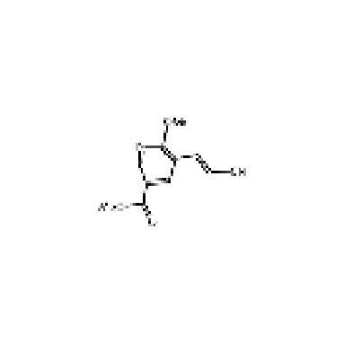 COC(=O)c1cnc(OC)c(C=CC#N)c1